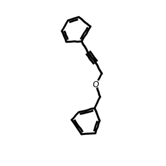 C(#Cc1ccccc1)COCc1ccccc1